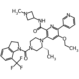 CCOc1cc(N2CCN(C(=O)N3CCc4cccc(C(F)(F)F)c43)C[C@H]2CC)c(C(=O)NC2CN(C)C2)nc1-c1cccnc1